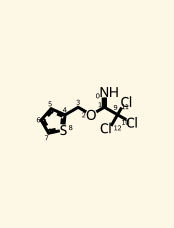 N=C(OCc1cccs1)C(Cl)(Cl)Cl